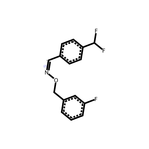 Fc1cccc(CO/N=[C]\c2ccc(C(F)F)cc2)c1